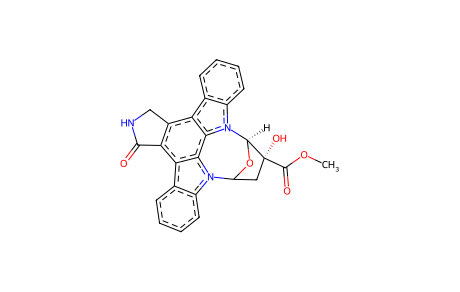 COC(=O)[C@@]1(O)CC2O[C@H]1n1c3ccccc3c3c4c(c5c6ccccc6n2c5c31)C(=O)NC4